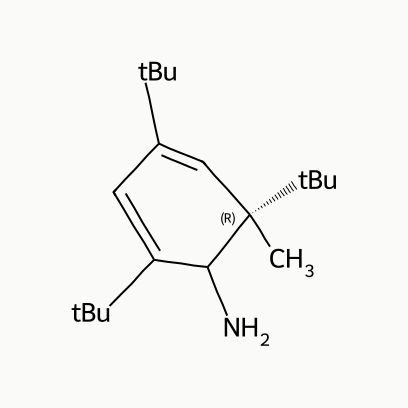 CC(C)(C)C1=C[C@](C)(C(C)(C)C)C(N)C(C(C)(C)C)=C1